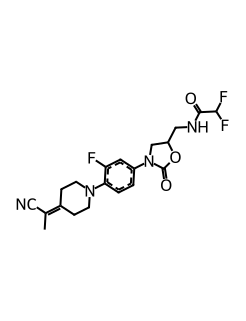 CC(C#N)=C1CCN(c2ccc(N3CC(CNC(=O)C(F)F)OC3=O)cc2F)CC1